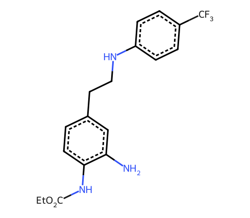 CCOC(=O)Nc1ccc(CCNc2ccc(C(F)(F)F)cc2)cc1N